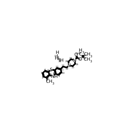 Cc1cccc2c1Nc1ccc(CCN3CCN(C(=O)OC(C)(C)C)CC3)cc1S2.I.I.I